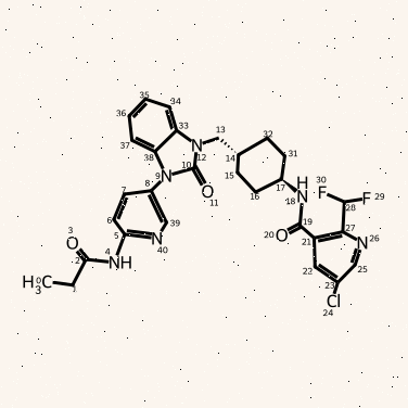 CCC(=O)Nc1ccc(-n2c(=O)n(C[C@H]3CC[C@H](NC(=O)c4cc(Cl)cnc4C(F)F)CC3)c3ccccc32)cn1